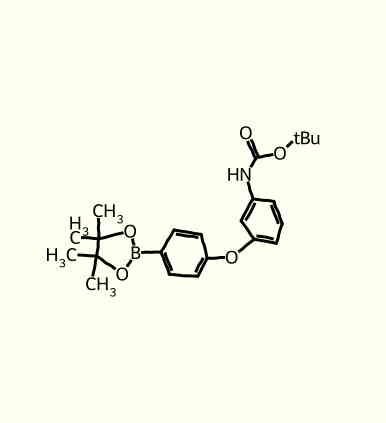 CC(C)(C)OC(=O)Nc1cccc(Oc2ccc(B3OC(C)(C)C(C)(C)O3)cc2)c1